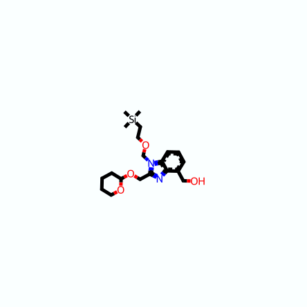 C[Si](C)(C)CCOCn1c(COC2CCCCO2)nc2c(CO)cccc21